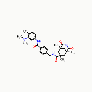 Cc1ccc(NC(=O)c2ccc(CNC(=O)C3(C)CC4(C)CC(C)(C3)C(=O)NC4=O)cc2)cc1N(C)C